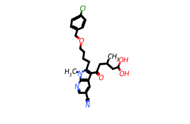 CC(CC(=O)c1c(CCCCOCc2ccc(Cl)cc2)n(C)c2ncc(C#N)cc12)CC(O)O